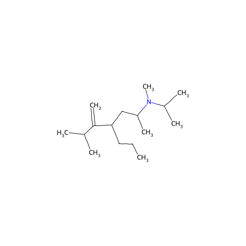 C=C(C(C)C)C(CCC)CC(C)N(C)C(C)C